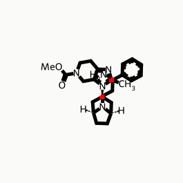 COC(=O)N1CCc2nc(C)n([C@H]3C[C@H]4CC[C@@H](C3)N4CC[C@H](N)c3ccccc3)c2C1